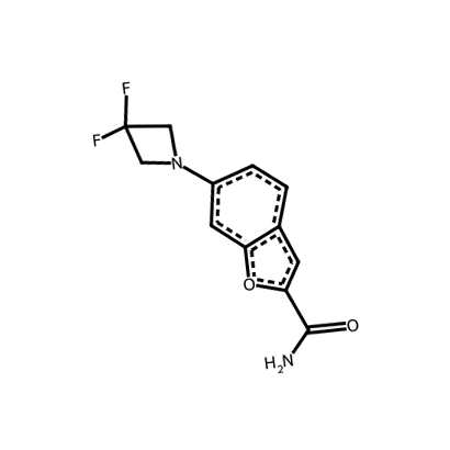 NC(=O)c1cc2ccc(N3CC(F)(F)C3)cc2o1